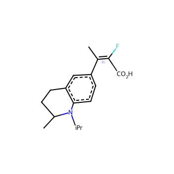 C/C(=C(\F)C(=O)O)c1ccc2c(c1)CCC(C)N2C(C)C